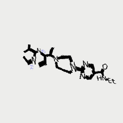 C=C/C(=N\C(/N=C\C)=C(C)C)C(C)N1CCCN(c2ncc(C(=O)NCC)cn2)CC1